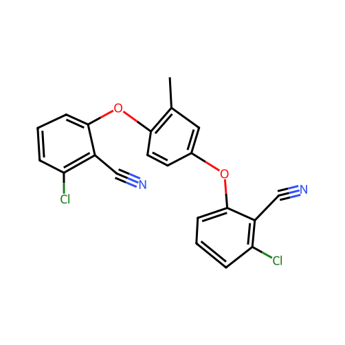 Cc1cc(Oc2cccc(Cl)c2C#N)ccc1Oc1cccc(Cl)c1C#N